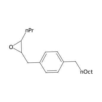 CCCCCCCCCc1ccc(CC2OC2CCC)cc1